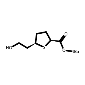 CC(C)(C)OC(=O)[C@@H]1CC[C@H](CCO)S1